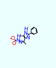 COC(=O)N/N=C(/C)c1nc(-c2ccccc2)[nH]c1I